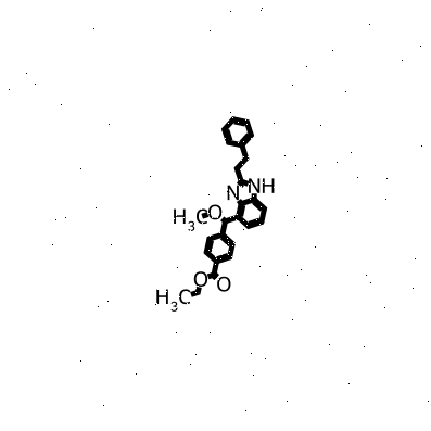 CCOC(=O)c1ccc(C(OC)c2cccc3[nH]c(CCc4ccccc4)nc23)cc1